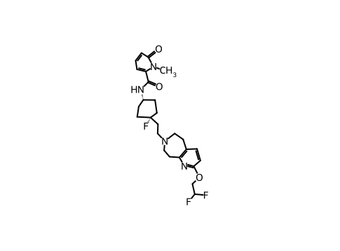 Cn1c(C(=O)N[C@H]2CC[C@](F)(CCN3CCc4ccc(OCC(F)F)nc4CC3)CC2)cccc1=O